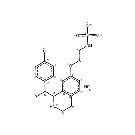 CCCS(=O)(=O)NCCOc1ccc2c(c1)C(C(C)c1ccc(Cl)cc1)NCC2.Cl